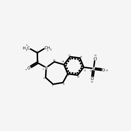 CC(C)C(=O)N1CCCc2cc(S(=O)(=O)Cl)ccc2C1